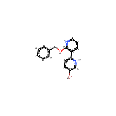 Brc1ccc(-c2cccnc2OCc2ccccc2)nc1